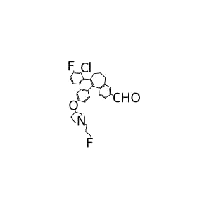 O=Cc1ccc2c(c1)CCCC(c1cccc(F)c1Cl)=C2c1ccc(O[C@H]2CCN(CCCF)C2)cc1